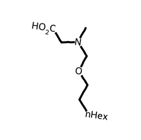 CCCCCCCCOCN(C)CC(=O)O